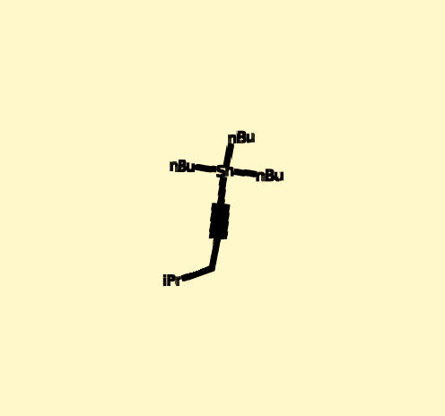 CCC[CH2][Sn]([C]#CCC(C)C)([CH2]CCC)[CH2]CCC